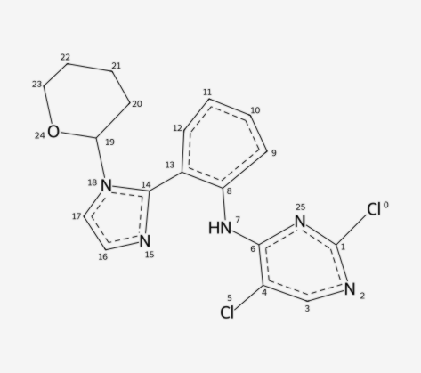 Clc1ncc(Cl)c(Nc2ccccc2-c2nccn2C2CCCCO2)n1